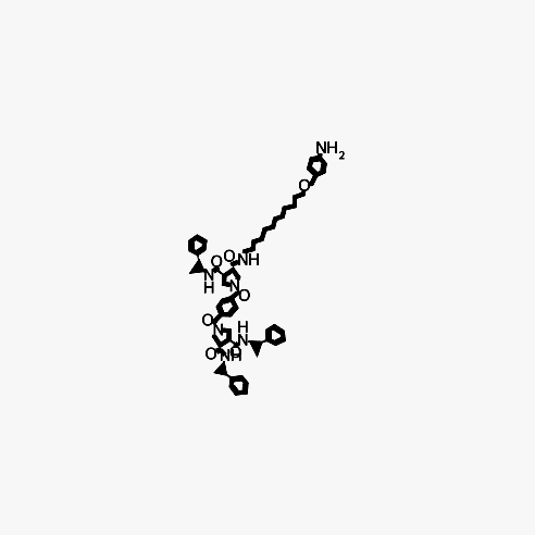 Nc1ccc(COCCCCCCCCCCCCNC(=O)[C@@H]2CN(C(=O)c3ccc(C(=O)N4C[C@@H](C(=O)N[C@H]5C[C@@H]5c5ccccc5)[C@H](C(=O)N[C@H]5C[C@@H]5c5ccccc5)C4)cc3)C[C@H]2C(=O)N[C@H]2C[C@@H]2c2ccccc2)cc1